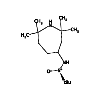 CC1(C)CCC(N[S@+]([O-])C(C)(C)C)CC(C)(C)N1